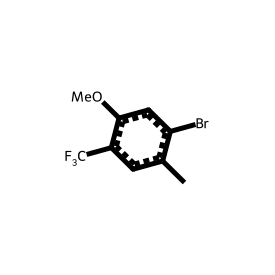 COc1cc(Br)c(C)cc1C(F)(F)F